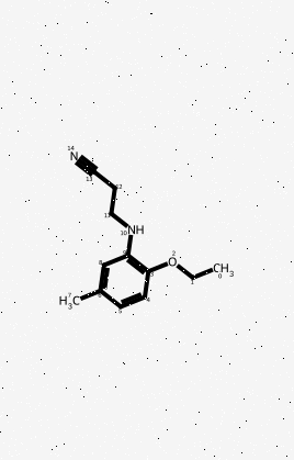 CCOc1ccc(C)cc1NCCC#N